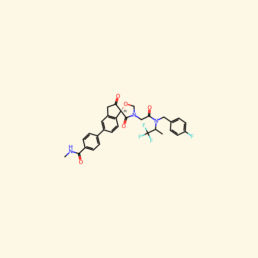 CNC(=O)c1ccc(-c2ccc3c(c2)CC(=O)[C@]32OCN(CC(=O)N(Cc3ccc(F)cc3)C(C)C(F)(F)F)C2=O)cc1